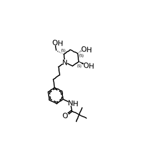 CC(C)(C)C(=O)Nc1cccc(CCCN2C[C@H](O)[C@@H](O)C[C@H]2CO)c1